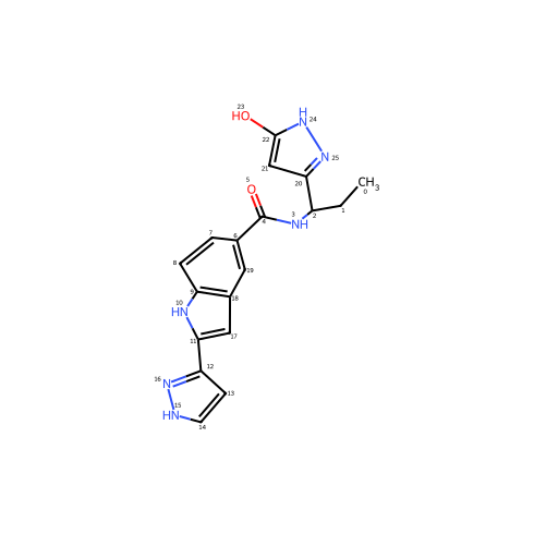 CCC(NC(=O)c1ccc2[nH]c(-c3cc[nH]n3)cc2c1)c1cc(O)[nH]n1